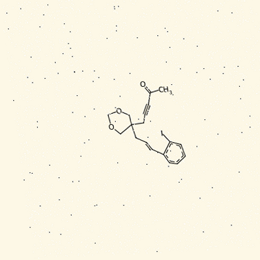 CC(=O)C#CCC1(C/C=C/c2ccccc2I)COCOC1